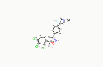 CC(=O)N1CC(F)(c2ccc(C3=NOC(c4ccc(Cl)c(Cl)c4Cl)(C(F)(F)F)C3)cc2)C1